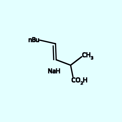 CCCCC=CC(C)C(=O)O.[NaH]